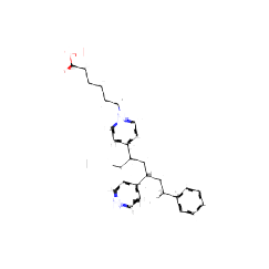 CCC(CC(CC(C)c1ccccc1)c1ccncc1)c1cc[n+](CCCCCC(=O)O)cc1